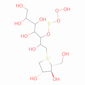 OCC(O)C(O)C(O)C(OSOOO)C(O)C[S+]1C[C@@H](O)[C@H](O)[C@H]1CO